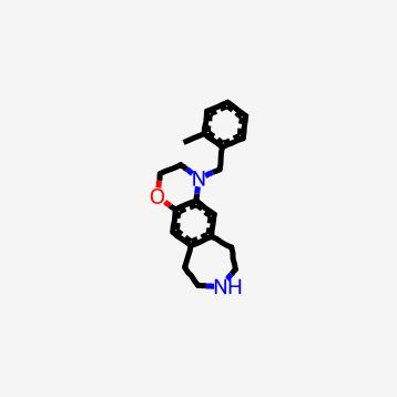 Cc1ccccc1CN1CCOc2cc3c(cc21)CCNCC3